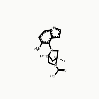 Nc1ccc2[nH]ccc2c1N1C[C@@H]2C[C@H]1CN2C(=O)O